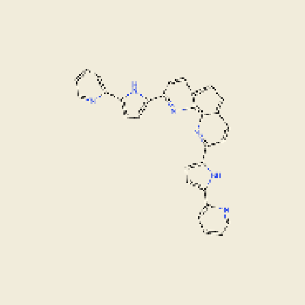 c1ccc(-c2ccc(-c3ccc4ccc5ccc(-c6ccc(-c7ccccn7)[nH]6)nc5c4n3)[nH]2)nc1